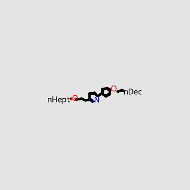 CCCCCCCCCCCCOc1ccc(-c2ccc(CCCOCCCCCCC)cn2)cc1